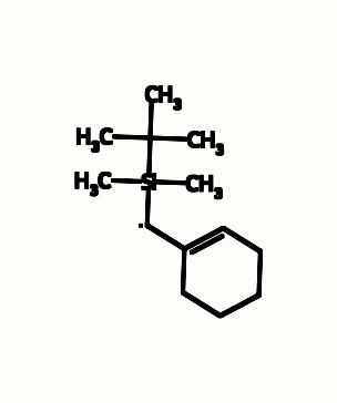 CC(C)(C)[Si](C)(C)[CH]C1=CCCCC1